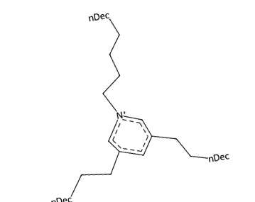 CCCCCCCCCCCCCC[n+]1cc(CCCCCCCCCCCC)cc(CCCCCCCCCCCC)c1